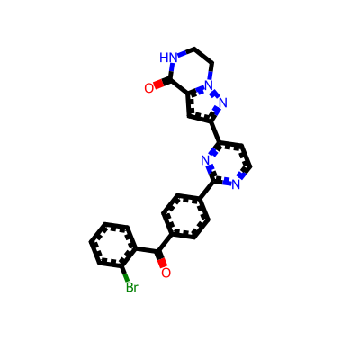 O=C(c1ccc(-c2nccc(-c3cc4n(n3)CCNC4=O)n2)cc1)c1ccccc1Br